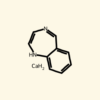 C1=CNc2ccccc2C=N1.[CaH2]